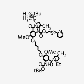 C=C1C[C@@H](CO[Si](C)(C)C(C)(C)C)N(C(=O)c2cc(OC)c(OCCCCCOc3cc(NC(=O)OC(C)(C)C)c(C(=O)N4CC(=C)C[C@H]4CC)cc3OC)cc2NC(=O)OCCSSc2ccccn2)C1